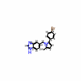 Cc1[c]cc(-c2ccc(Br)cc2)n1Cc1ccc2[nH]cnc2c1